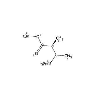 CCCCCC(C)[C@H](C)C(=O)OC(C)(C)C